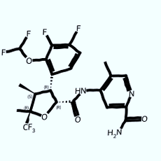 Cc1cnc(C(N)=O)cc1NC(=O)[C@@H]1O[C@@](C)(C(F)(F)F)[C@@H](C)[C@@H]1c1ccc(F)c(F)c1OC(F)F